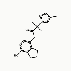 Cc1cnn(C(C)(C)C(=O)Nc2ccc(C#N)c3c2CCC3)c1